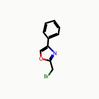 BrCc1nc(-c2ccccc2)co1